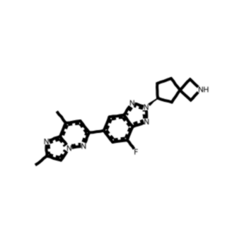 Cc1cn2nc(-c3cc(F)c4nn([C@H]5CCC6(CNC6)C5)nc4c3)cc(C)c2n1